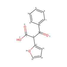 O=C(O)C(C(=O)c1ccccc1)c1ccco1